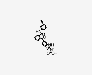 C#Cc1cccc(NC(=O)c2ccccc2C(=O)c2ccc3nc(N(C)C(=O)O)[nH]c3c2)c1